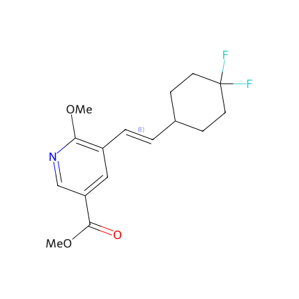 COC(=O)c1cnc(OC)c(/C=C/C2CCC(F)(F)CC2)c1